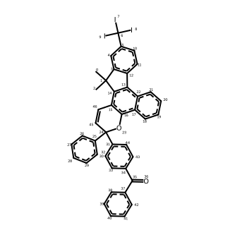 CC1(C)c2cc(C(I)(I)I)ccc2-c2c1c1c(c3ccccc23)OC(c2ccccc2)(c2ccc(C(=O)c3ccccc3)cc2)C=C1